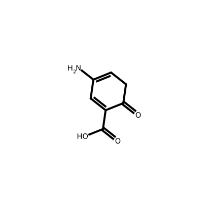 NC1=CCC(=O)C(C(=O)O)=C1